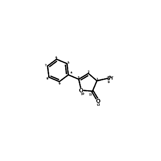 CC(C)C1C=C(c2ccccc2)OC1=O